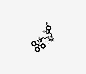 Fc1ccc2c(Cc3nnc(S)n3CCCc3cn(C(c4ccccc4)(c4ccccc4)c4ccccc4)cn3)c[nH]c2c1